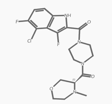 CN1CCOC[C@H]1C(=O)N1CCN(C(=O)c2[nH]c3ccc(F)c(Cl)c3c2F)CC1